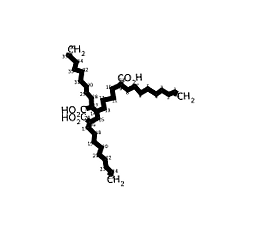 C=CCCCCCCCC(CCCCC(CC(CCCCCCCC=C)C(=O)O)C(CCCCCCCC=C)C(=O)O)C(=O)O